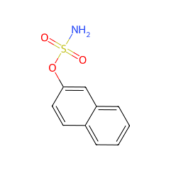 NS(=O)(=O)Oc1ccc2ccccc2c1